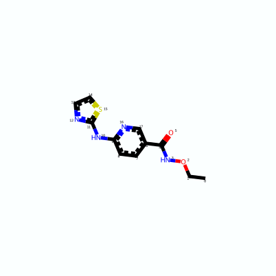 CCONC(=O)c1ccc(Nc2nccs2)nc1